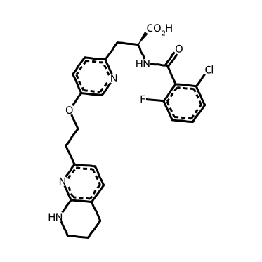 O=C(N[C@@H](Cc1ccc(OCCc2ccc3c(n2)NCCC3)cn1)C(=O)O)c1c(F)cccc1Cl